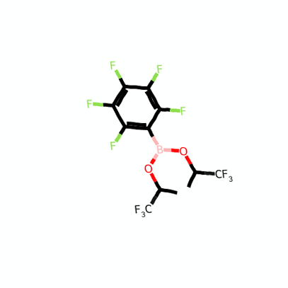 CC(OB(OC(C)C(F)(F)F)c1c(F)c(F)c(F)c(F)c1F)C(F)(F)F